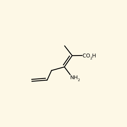 C=CCC(N)=C(C)C(=O)O